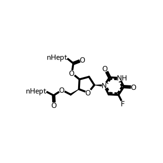 CCCCCCCC(=O)OC[C@@H]1O[C@H](n2cc(F)c(=O)[nH]c2=O)CC1OC(=O)CCCCCCC